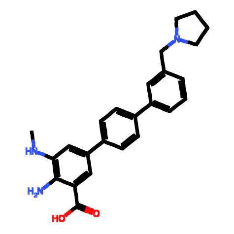 CNc1cc(-c2ccc(-c3cccc(CN4CCCC4)c3)cc2)cc(C(=O)O)c1N